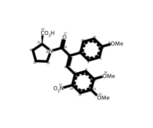 COc1ccc(/C(=C\c2cc(OC)c(OC)cc2[N+](=O)[O-])C(=O)N2CCC[C@H]2C(=O)O)cc1